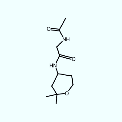 CC(=O)NCC(=O)NC1CCOC(C)(C)C1